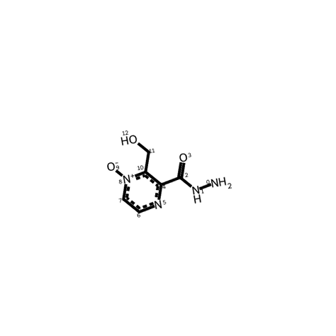 NNC(=O)c1ncc[n+]([O-])c1CO